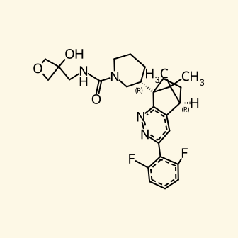 CC1(C)[C@H]2CCC1([C@H]1CCCN(C(=O)NCC3(O)COC3)C1)c1nnc(-c3c(F)cccc3F)cc12